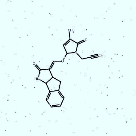 C#CCN1C(=O)C(C)=CC1O/C=C1/C(=O)NC2c3ccccc3CC12